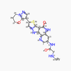 CCCNCC(=O)Nc1cnc2c(c1)[nH]c(=O)c1c2nn2cc(-c3cnn4c3OCCC4)sc12